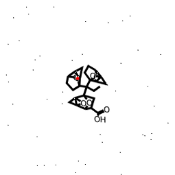 CCC(C12CCC(O1)C13CC12O3)(C12CCC(O1)C13CC12O3)C12CC(C(=O)O)C(O1)C13CC12O3